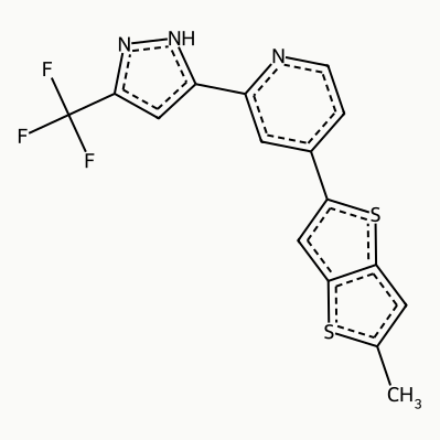 Cc1cc2sc(-c3ccnc(-c4cc(C(F)(F)F)n[nH]4)c3)cc2s1